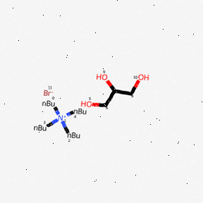 CCCC[N+](CCCC)(CCCC)CCCC.OCC(O)CO.[Br-]